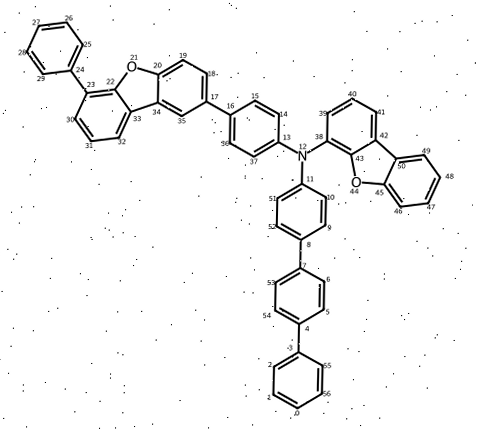 c1ccc(-c2ccc(-c3ccc(N(c4ccc(-c5ccc6oc7c(-c8ccccc8)cccc7c6c5)cc4)c4cccc5c4oc4ccccc45)cc3)cc2)cc1